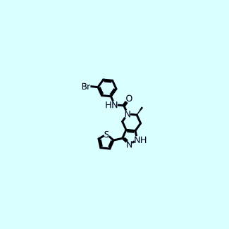 C[C@H]1Cc2[nH]nc(-c3cccs3)c2CN1C(=O)Nc1cccc(Br)c1